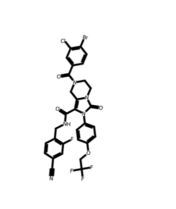 N#Cc1ccc(CNC(=O)c2c3n(c(=O)n2-c2ccc(OCC(F)(F)F)cc2)CCN(C(=O)c2ccc(Br)c(Cl)c2)C3)c(F)c1